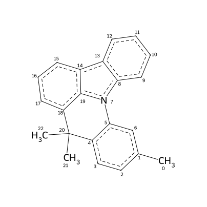 Cc1ccc2c(c1)-n1c3ccccc3c3cccc(c31)C2(C)C